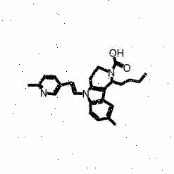 CCCCC1c2c(n(C=Cc3ccc(C)nc3)c3ccc(C)cc23)CCN1C(=O)O